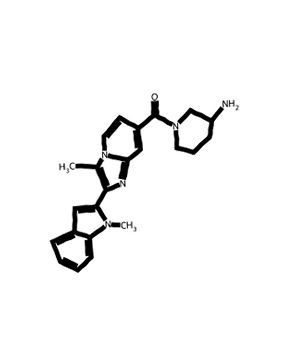 Cc1c(-c2cc3ccccc3n2C)nc2cc(C(=O)N3CCCC(N)C3)ccn12